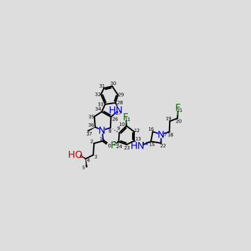 C=C(CC[C@@H](C)O)N1[C@@H](c2c(F)cc(NC3CN(CCCF)C3)cc2F)c2[nH]c3ccccc3c2C[C@@H]1C